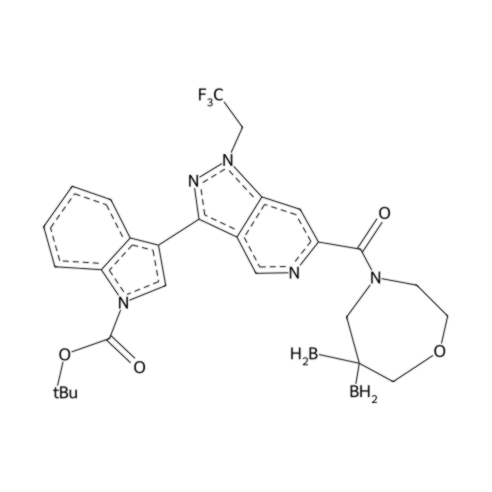 BC1(B)COCCN(C(=O)c2cc3c(cn2)c(-c2cn(C(=O)OC(C)(C)C)c4ccccc24)nn3CC(F)(F)F)C1